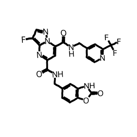 O=C(NCc1ccc2oc(=O)[nH]c2c1)c1cc(C(=O)NCc2ccnc(C(F)(F)F)c2)n2ncc(F)c2n1